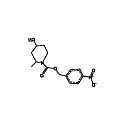 CC1CC(O)CCN1C(=O)OCc1ccc([N+](=O)[O-])cc1